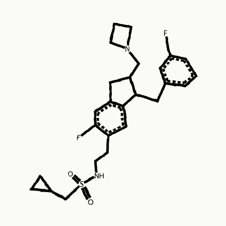 O=S(=O)(CC1CC1)NCCc1cc2c(cc1F)CC(CN1CCC1)C2Cc1cccc(F)c1